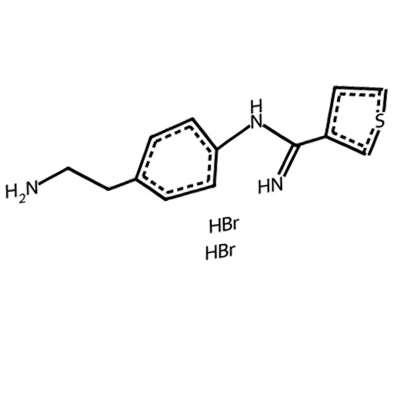 Br.Br.N=C(Nc1ccc(CCN)cc1)c1ccsc1